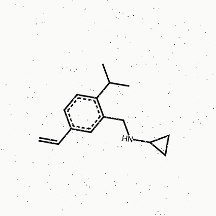 C=Cc1ccc(C(C)C)c(CNC2CC2)c1